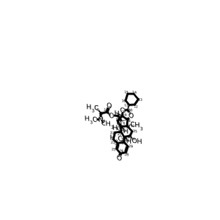 C[C@@H](C(=O)OCC(=O)[C@@]12O[C@H](C3CCCCC3)O[C@@H]1C[C@H]1[C@@H]3CCC4=CC(=O)C=C[C@]4(C)[C@H]3[C@@H](O)C[C@@]12C)N(C)C